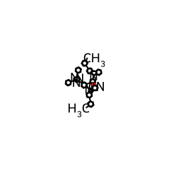 Cc1cccc(-c2ccc3c(c2)c2ccccc2n3-c2ccc(C#N)c(-c3cc(-c4nc(-c5ccccc5)nc(-c5ccccc5)n4)ccc3-n3c4ccccc4c4cc(-c5cccc(C)c5)ccc43)c2)c1